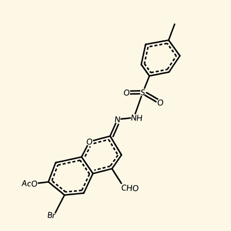 CC(=O)Oc1cc2oc(=NNS(=O)(=O)c3ccc(C)cc3)cc(C=O)c2cc1Br